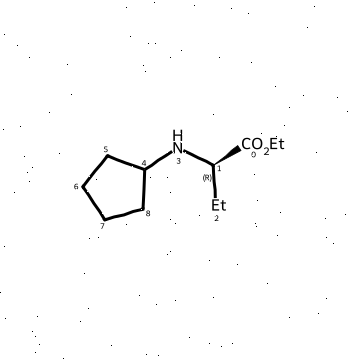 CCOC(=O)[C@@H](CC)NC1CCCC1